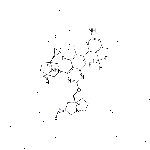 Cc1cc(N)nc(-c2c(F)c(F)c3c(N4C[C@@H]5CC[C@](C6CC6)(C4)N5)nc(OC[C@@]45CCCN4C/C(=C\F)C5)nc3c2F)c1C(F)(F)F